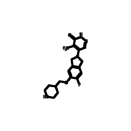 O=c1[nH]ncc(N2Cc3cc(F)c(OCC4CCNCC4)cc3C2)c1C(F)(F)F